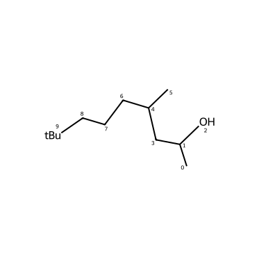 CC(O)CC(C)CCCC(C)(C)C